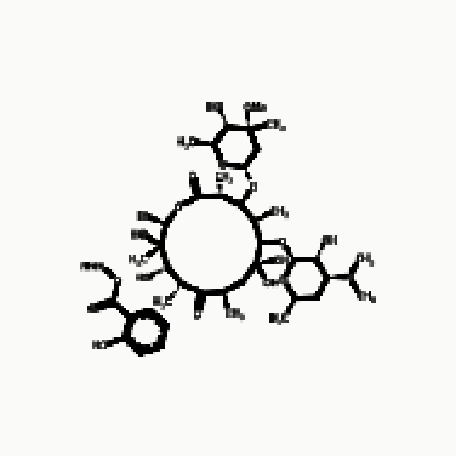 CCCCCCOC(=O)c1ccccc1O.CC[C@H]1OC(=O)[C@H](C)[C@@H](O[C@H]2C[C@@](C)(OC)[C@@H](O)[C@H](C)O2)[C@@H](C)[C@@H](O[C@@H]2O[C@H](C)C[C@H](N(C)C)[C@H]2O)[C@](C)(O)C[C@@H](C)C(=O)[C@H](C)[C@H](O)[C@]1(C)O